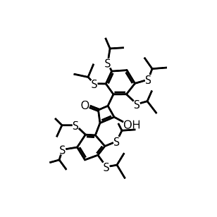 CC(C)Sc1cc(SC(C)C)c(SC(C)C)c(C2=C(O)C(c3c(SC(C)C)c(SC(C)C)cc(SC(C)C)c3SC(C)C)C2=O)c1SC(C)C